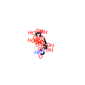 C#CCOC[C@H]1OC(OP(=O)(O)OP(=O)(O)OOC[C@H]2O[C@@H](n3ccc(=O)[nH]c3=O)[C@H](O)[C@@H]2O)[C@H](O)[C@@H](O)[C@H]1O